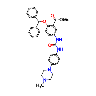 COC(=O)c1cc(NC(=O)Nc2ccc(N3CCN(C)CC3)cc2)ccc1OC(c1ccccc1)c1ccccc1